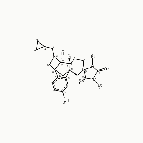 CCN1C(=O)N(CC)[C@]2(CC[C@@]3(O)[C@@H]4N(CC5CC5)CC45C[C@@]3(C2)c2cc(O)ccc25)C1=O